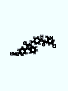 Cc1ncc(Cl)cc1C(=O)NC1CCC(Cn2c(=O)n(-c3ccc(OC(C)(C)C)nc3)c3ccccc32)CC1